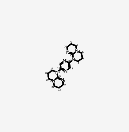 c1nc(N2CCCN3CCCN=C32)cnc1N1CCCN2CCCN=C21